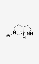 CC(C)N1CCC2CCN[C@@H]2C1